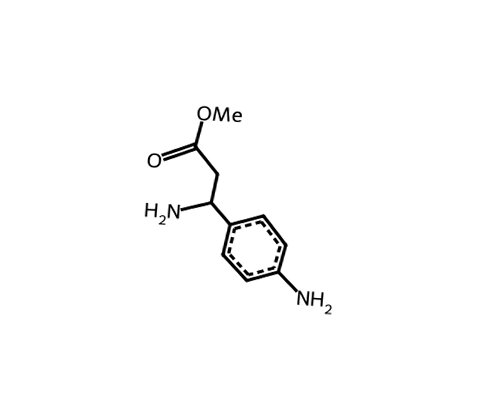 COC(=O)CC(N)c1ccc(N)cc1